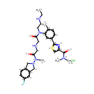 CCNCCN(C(=O)CNCC(=O)N(C)N1Cc2ccc(F)cc2C1)c1cc(-c2nc(C(=O)N(C)C)cs2)ccc1C.Cl